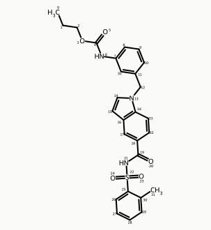 CCCOC(=O)Nc1cccc(Cn2ccc3cc(C(=O)NS(=O)(=O)c4ccccc4C)ccc32)c1